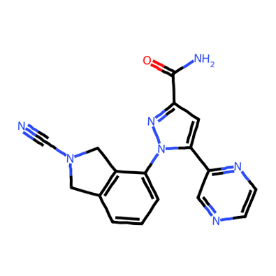 N#CN1Cc2cccc(-n3nc(C(N)=O)cc3-c3cnccn3)c2C1